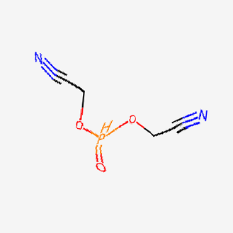 N#CCO[PH](=O)OCC#N